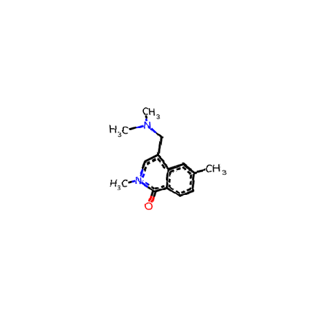 Cc1ccc2c(=O)n(C)cc(CN(C)C)c2c1